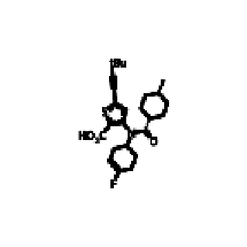 CC(C)(C)C#Cc1cc(N(C(=O)[C@H]2CC[C@H](C)CC2)C2CC=C(F)CC2)c(C(=O)O)s1